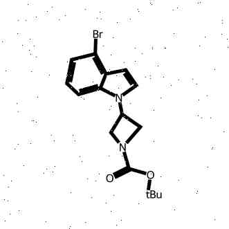 CC(C)(C)OC(=O)N1CC(n2ccc3c(Br)cccc32)C1